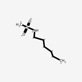 CCCCCCNS(C)(=O)=O